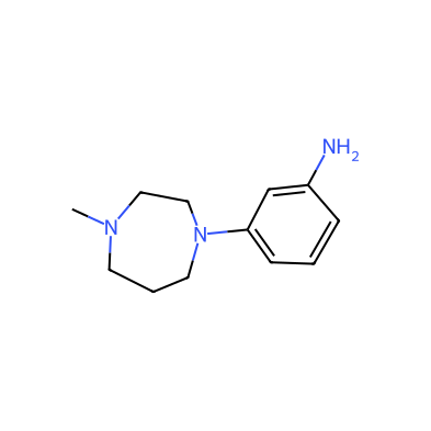 CN1CCCN(c2cccc(N)c2)CC1